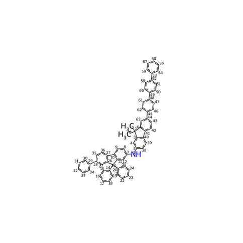 CC1(C)c2cc(Nc3ccc4c(c3)C(c3ccccc3)(c3ccccc3)c3cc(-c5ccccc5)ccc3-4)ccc2-c2ccc(-c3ccc(-c4ccc(-c5ccccc5)cc4)cc3)cc21